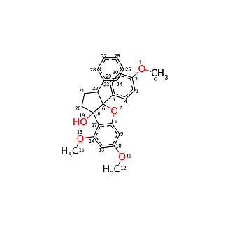 COc1ccc(C23Oc4cc(OC)cc(OC)c4C2(O)CCC3c2ccccc2)cc1